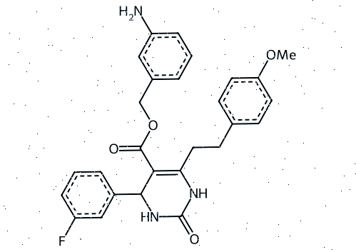 COc1ccc(CCC2=C(C(=O)OCc3cccc(N)c3)C(c3cccc(F)c3)NC(=O)N2)cc1